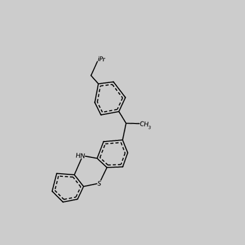 CC(C)Cc1ccc(C(C)c2ccc3c(c2)Nc2ccccc2S3)cc1